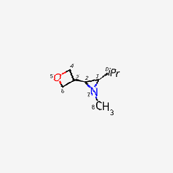 CC(C)[C@@H]1[C@H](C2COC2)N1C